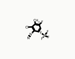 Cc1c(F)ccc([N+]#N)c1Cl.F[B-](F)(F)F